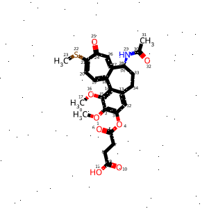 COc1c(OC(=O)CCC(=O)O)cc2c(c1OC)-c1ccc(SC)c(=O)cc1[C@@H](NC(C)=O)CC2